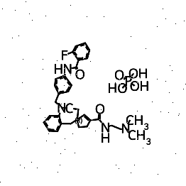 CN(C)CCNC(=O)C1=C[C@@]2(CC1)CCN(Cc1ccc(NC(=O)c3ccccc3F)cc1)c1ccccc1C2.O=P(O)(O)O